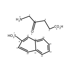 NCC(=O)CCC(=O)O.O=S(=O)(O)c1ccc2ccccc2c1